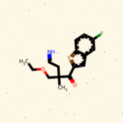 CCOCC(C)(CC=N)C(=O)c1cc2cc(F)ccc2s1